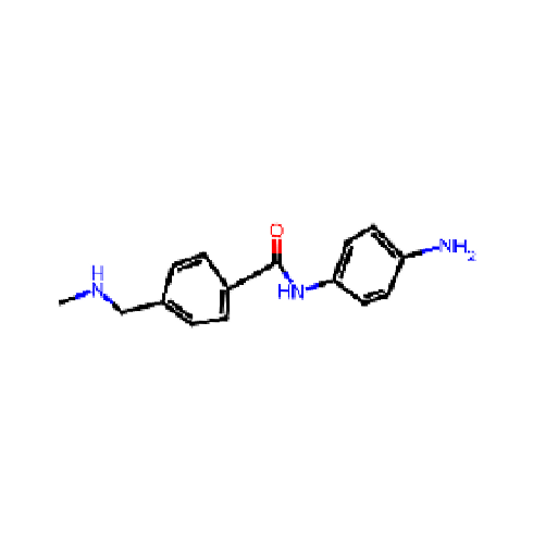 CNCc1ccc(C(=O)Nc2ccc(N)cc2)cc1